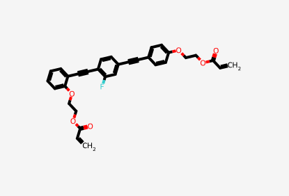 C=CC(=O)OCCOc1ccc(C#Cc2ccc(C#Cc3ccccc3OCCOC(=O)C=C)c(F)c2)cc1